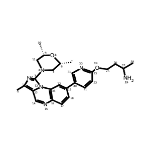 Cc1nc(N2C[C@@H](C)O[C@@H](C)C2)n2c1cnc1ccc(-c3ccc(OCCC(C)N)nc3)cc12